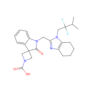 CC(C)C(F)(F)Cn1c(CN2C(=O)C3(CN(C(=O)O)C3)c3ccccc32)nc2c1CCCC2